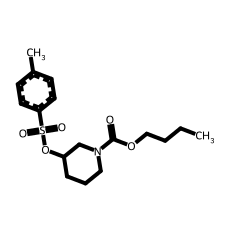 CCCCOC(=O)N1CCCC(OS(=O)(=O)c2ccc(C)cc2)C1